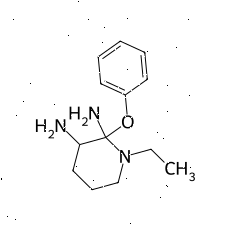 CCN1CCCC(N)C1(N)Oc1ccccc1